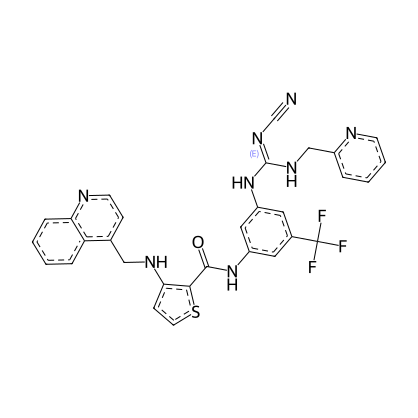 N#C/N=C(\NCc1ccccn1)Nc1cc(NC(=O)c2sccc2NCc2ccnc3ccccc23)cc(C(F)(F)F)c1